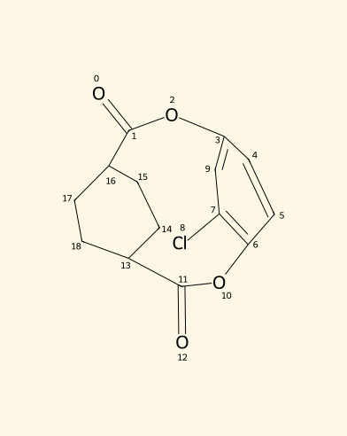 O=C1Oc2ccc(c(Cl)c2)OC(=O)C2CCC1CC2